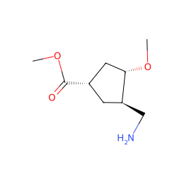 COC(=O)[C@H]1C[C@H](CN)[C@@H](OC)C1